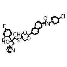 CC(SC1COC(c2ccc3cc(C(=O)Nc4ccc(Cl)cc4)ccc3c2)OC1)C(O)(Cn1cncn1)c1ccc(F)cc1F